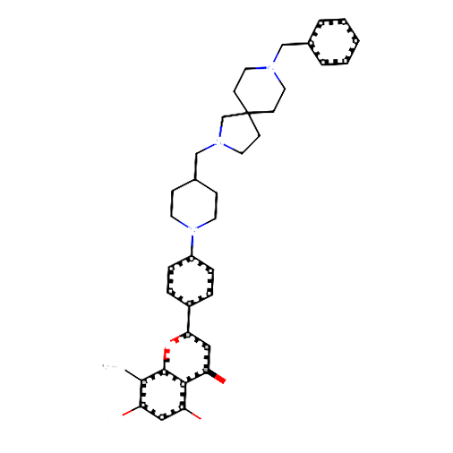 COc1c(O)cc(O)c2c(=O)cc(-c3ccc(N4CCC(CN5CCC6(CCN(Cc7ccccc7)CC6)C5)CC4)cc3)oc12